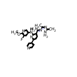 C=C(N)/N=C(C)\N=C(/N)c1ccc(-c2ccncc2)nc1Nc1cnc(OC)c(F)c1